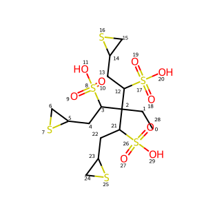 CCC(C(CC1CS1)S(=O)(=O)O)(C(CC1CS1)S(=O)(=O)O)C(CC1CS1)S(=O)(=O)O